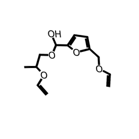 C=COCc1ccc(C(O)OCC(C)OC=C)o1